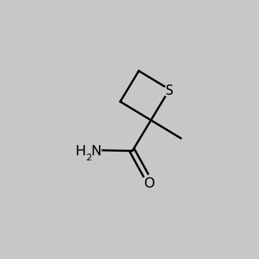 CC1(C(N)=O)CCS1